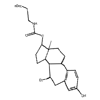 CCCCCCCCCCCCNC(=O)OC1CCC2C3C(CC)Cc4cc(O)ccc4C3CCC12C